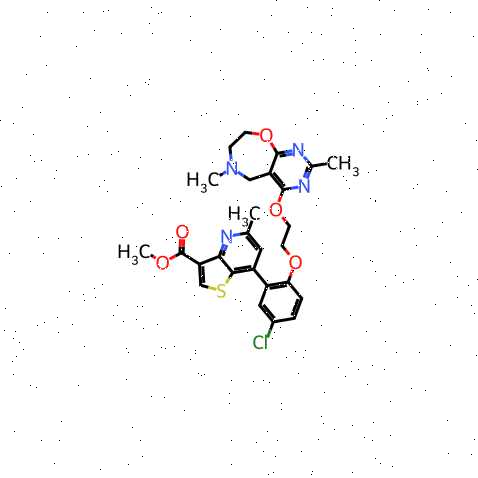 COC(=O)c1csc2c(-c3cc(Cl)ccc3OCCOc3nc(C)nc4c3CN(C)CCO4)cc(C)nc12